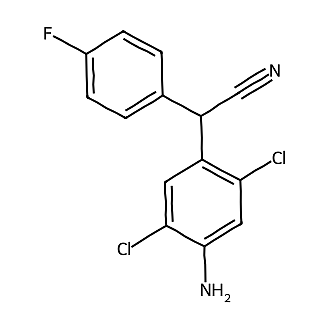 N#CC(c1ccc(F)cc1)c1cc(Cl)c(N)cc1Cl